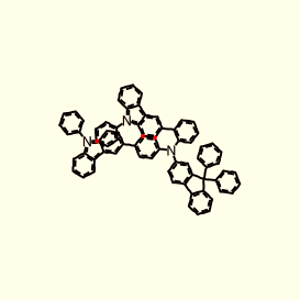 c1ccc(-n2c3ccccc3c3cc(-c4ccc(N(c5ccc6c(c5)C(c5ccccc5)(c5ccccc5)c5ccccc5-6)c5ccccc5-c5ccc6c(c5)c5ccccc5n6-c5ccccc5)cc4)ccc32)cc1